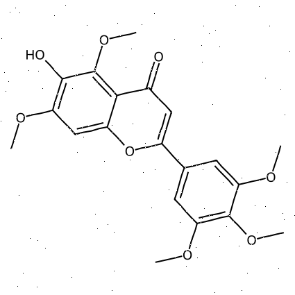 COc1cc2oc(-c3cc(OC)c(OC)c(OC)c3)cc(=O)c2c(OC)c1O